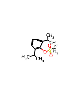 CC(C)c1cccc(C(C)C)c1OS(C)(=O)=O